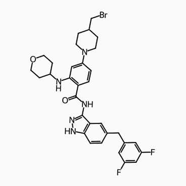 O=C(Nc1n[nH]c2ccc(Cc3cc(F)cc(F)c3)cc12)c1ccc(N2CCC(CBr)CC2)cc1NC1CCOCC1